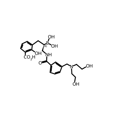 O=C(NC[C@@H](Cc1cccc(C(=O)O)c1O)B(O)O)c1cccc(CN(CCO)CCO)c1